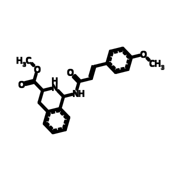 COC(=O)C1Cc2ccccc2C(NC(=O)C=Cc2ccc(OC)cc2)N1